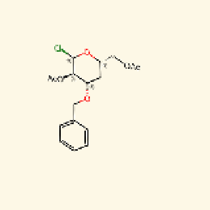 CC(=O)OC[C@@H]1C[C@H](OCc2ccccc2)[C@@H](OC(C)=O)[C@@H](Cl)O1